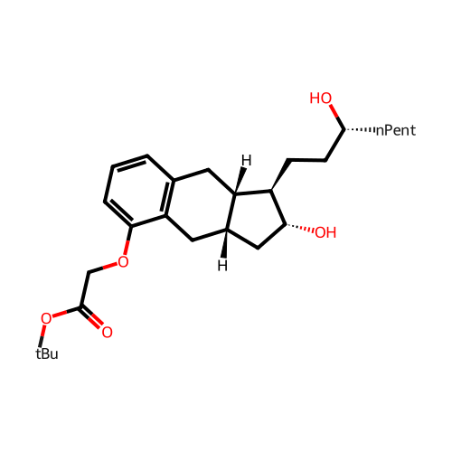 CCCCC[C@@H](O)CC[C@@H]1[C@H]2Cc3cccc(OCC(=O)OC(C)(C)C)c3C[C@H]2C[C@H]1O